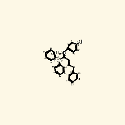 Clc1ccc([SiH2]C(CCCc2ccccc2)[SiH](c2ccccc2)c2ccccc2)cc1